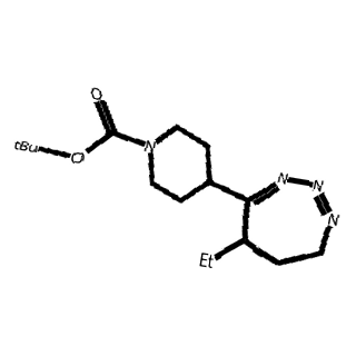 CCC1CCN=NN=C1C1CCN(C(=O)OC(C)(C)C)CC1